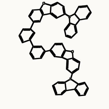 C1=CC2c3ccccc3N(c3ccc4oc5ccc(-c6cccc(-c7cccc(-c8ccc9oc%10ccc(-n%11c%12ccccc%12c%12ccccc%12%11)cc%10c9c8)c7)c6)cc5c4c3)C2C=C1